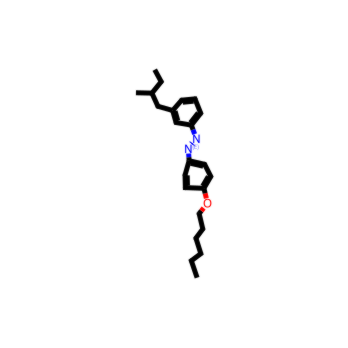 CCCCCCOc1ccc(/N=N/c2cccc(CC(C)CC)c2)cc1